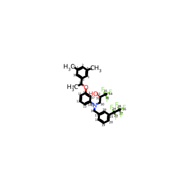 Cc1cc(C)cc(C(C)Oc2cccc(N(Cc3cccc(C(F)(F)C(F)(F)F)c3)C[C@@H](O)C(F)(F)F)c2)c1